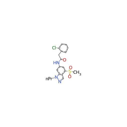 CCCn1ncc2c(S(C)(=O)=O)cc(NC(=O)Cc3ccccc3Cl)cc21